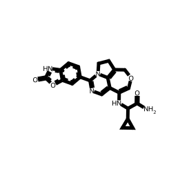 NC(=O)C(NC1=COCC2=C3C1=CN=C(c1ccc4[nH]c(=O)oc4c1)N3CC2)C1CC1